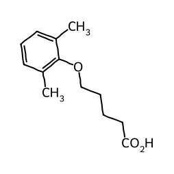 Cc1cccc(C)c1OCCCCC(=O)O